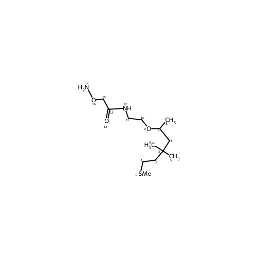 CSCCC(C)(C)CC(C)OCCNC(=O)CON